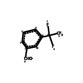 O=[C]c1cccc(C(F)(F)C(F)(F)F)c1